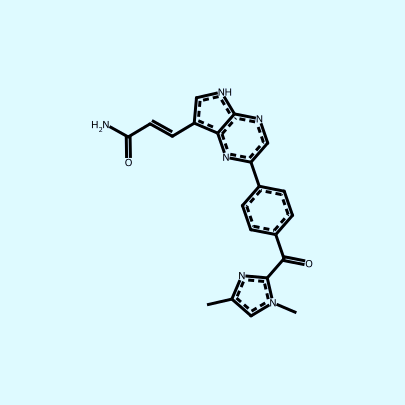 Cc1cn(C)c(C(=O)c2ccc(-c3cnc4[nH]cc(C=CC(N)=O)c4n3)cc2)n1